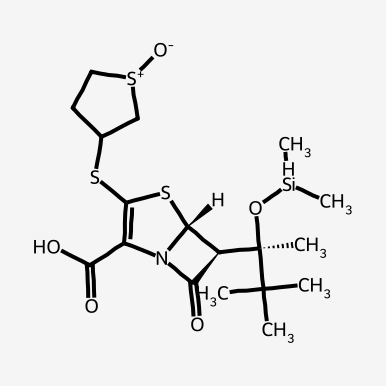 C[SiH](C)O[C@](C)([C@H]1C(=O)N2C(C(=O)O)=C(SC3CC[S+]([O-])C3)S[C@H]12)C(C)(C)C